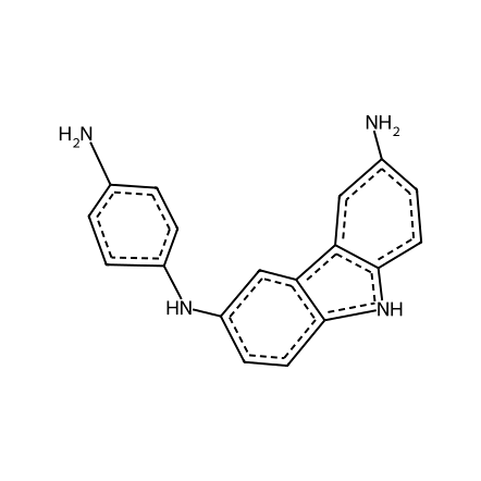 Nc1ccc(Nc2ccc3[nH]c4ccc(N)cc4c3c2)cc1